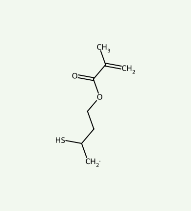 [CH2]C(S)CCOC(=O)C(=C)C